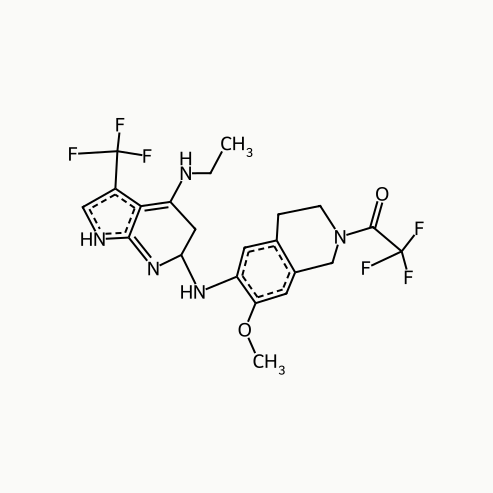 CCNC1=c2c(C(F)(F)F)c[nH]c2=NC(Nc2cc3c(cc2OC)CN(C(=O)C(F)(F)F)CC3)C1